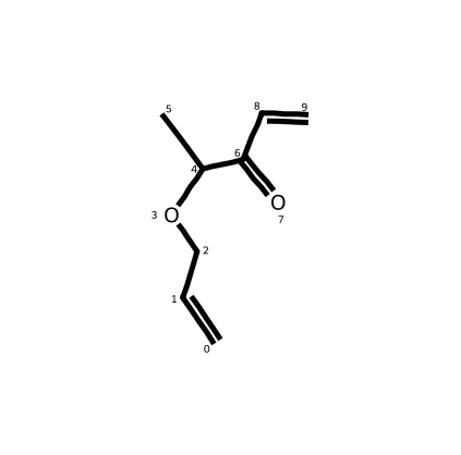 C=CCOC(C)C(=O)C=C